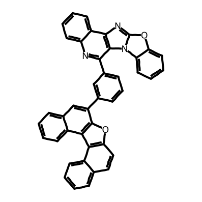 c1cc(-c2cc3ccccc3c3c2oc2ccc4ccccc4c23)cc(-c2nc3ccccc3c3nc4oc5ccccc5n4c23)c1